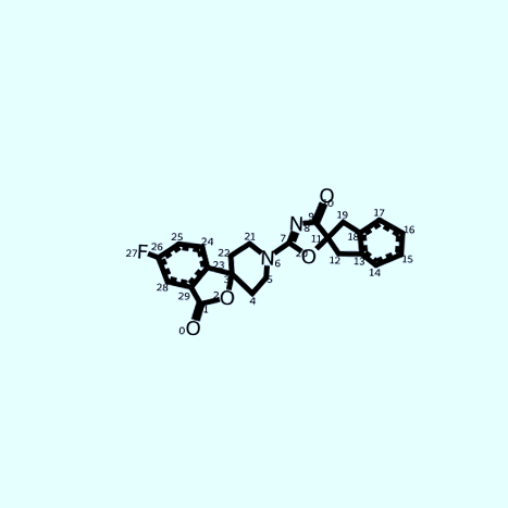 O=C1OC2(CCN(C3=NC(=O)C4(Cc5ccccc5C4)O3)CC2)c2ccc(F)cc21